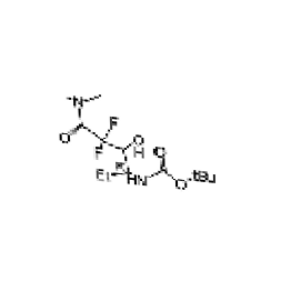 CC[C@H](NC(=O)OC(C)(C)C)C(O)C(F)(F)C(=O)N(C)C